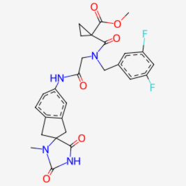 COC(=O)C1(C(=O)N(CC(=O)Nc2ccc3c(c2)CC2(C3)C(=O)NC(=O)N2C)Cc2cc(F)cc(F)c2)CC1